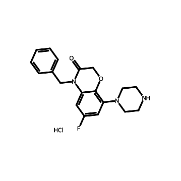 Cl.O=C1COc2c(N3CCNCC3)cc(F)cc2N1Cc1ccccc1